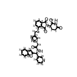 O=C1CCC(N2C(=O)c3cccc(SCc4cn(CC(=O)NC(c5cccnc5)c5cc6ccccc6o5)nn4)c3C2=O)C(=O)N1